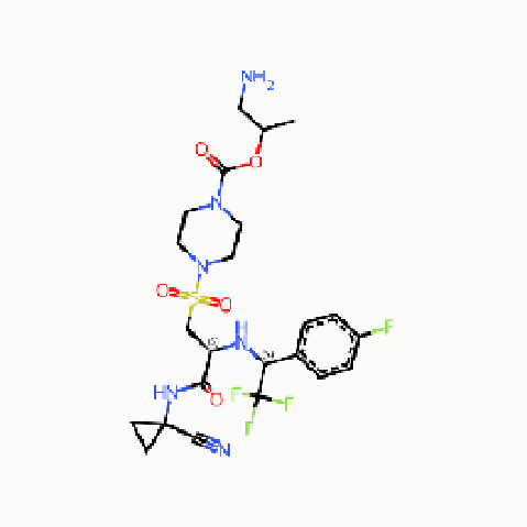 CC(CN)OC(=O)N1CCN(S(=O)(=O)C[C@@H](N[C@@H](c2ccc(F)cc2)C(F)(F)F)C(=O)NC2(C#N)CC2)CC1